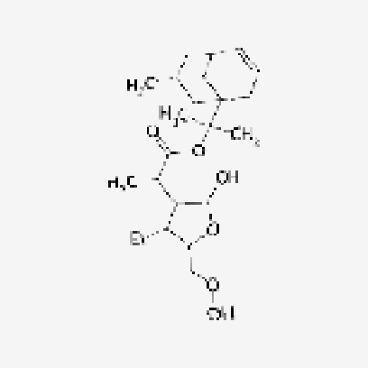 CCC1C(COO)OC(O)C1C(C)C(=O)OC(C)(C)C12CC=CC(CC(C)C1)C2